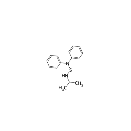 CC(C)NSN(c1ccccc1)c1ccccc1